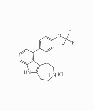 Cl.FC(F)(F)Oc1ccc(-c2cccc3[nH]c4c(c23)CCNCC4)cc1